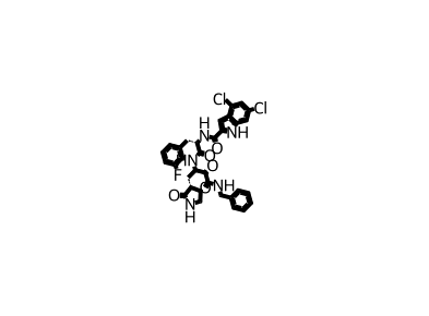 O=C(NCc1ccccc1)C(=O)C(C[C@@H]1CCNC1=O)NC(=O)[C@H](Cc1cccc(F)c1)NC(=O)c1cc2c(Cl)cc(Cl)cc2[nH]1